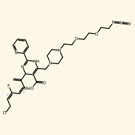 C=C(/C=C\C(F)=C/CCl)C1N=C(c2ccccn2)NC(CN2CCN(CCOCCOCCN=[N+]=[N-])CC2)=C1C(=O)OC